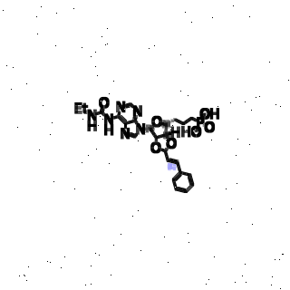 CCNC(=O)Nc1ncnc2c1ncn2[C@@H]1O[C@H](CCCP(=O)(O)O)[C@@H]2OC(/C=C/c3ccccc3)OC21